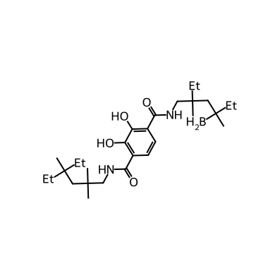 BC(C)(CC)CC(C)(CC)CNC(=O)c1ccc(C(=O)NCC(C)(C)CC(C)(CC)CC)c(O)c1O